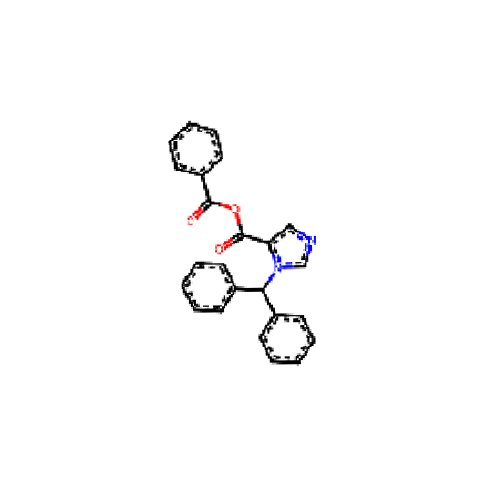 O=C(OC(=O)c1cncn1C(c1ccccc1)c1ccccc1)c1ccccc1